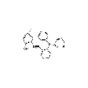 Cc1ccc(O)c(/N=C/c2ccccc2P(c2ccccc2)c2ccccc2)c1